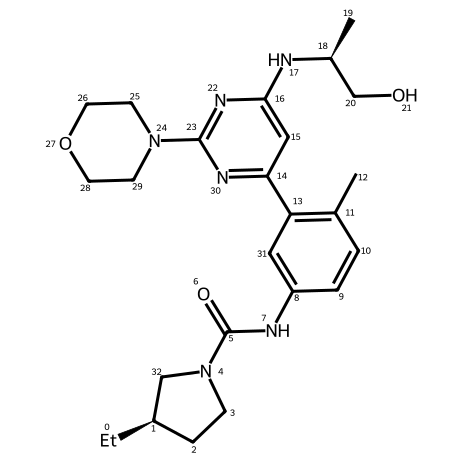 CC[C@@H]1CCN(C(=O)Nc2ccc(C)c(-c3cc(N[C@@H](C)CO)nc(N4CCOCC4)n3)c2)C1